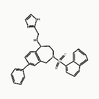 O=S(=O)(c1cccc2ccccc12)N1CCC(NCc2ncc[nH]2)c2ccc(-c3ccccc3)cc2C1